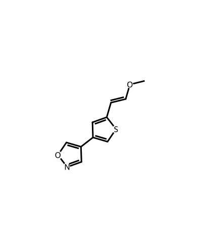 COC=Cc1cc(-c2cnoc2)cs1